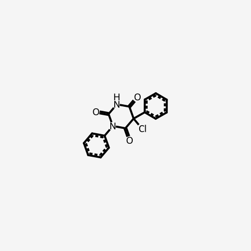 O=C1NC(=O)C(Cl)(c2ccccc2)C(=O)N1c1ccccc1